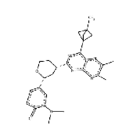 Cc1nc2nc([C@H]3CCO[C@@H](c4ccc(=O)n(N(C)C)c4)C3)nc(C34CC(C(F)(F)F)(C3)C4)c2nc1C